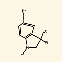 CCN1CC(CC)(CC)c2cc(Br)ccc21